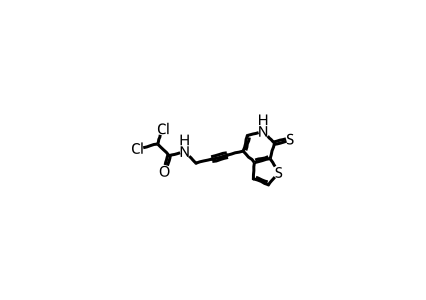 O=C(NCC#Cc1c[nH]c(=S)c2sccc12)C(Cl)Cl